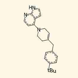 CC(C)(C)c1ccc(CC2=CCN(c3ccnc4[nH]ccc34)CC2)cc1